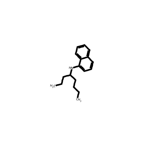 CCCCC(CCC)Nc1cccc2ccccc12